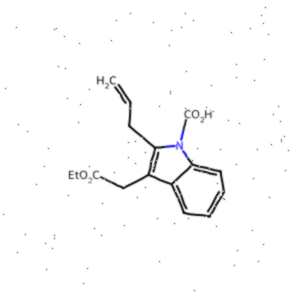 C=CCc1c(CC(=O)OCC)c2ccccc2n1C(=O)O